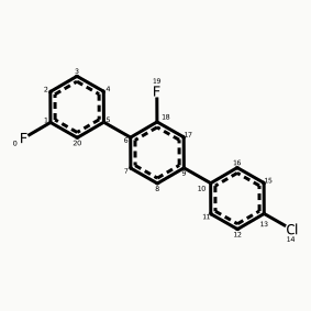 Fc1cccc(-c2ccc(-c3ccc(Cl)cc3)cc2F)c1